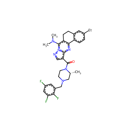 CCc1ccc2c(c1)CCc1c-2nc2c(C(=O)N3CCN(Cc4cc(F)cc(F)c4F)C[C@H]3C)cnn2c1N(C)C